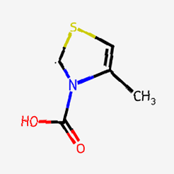 CC1=CS[CH]N1C(=O)O